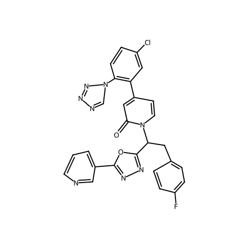 O=c1cc(-c2cc(Cl)ccc2-n2cnnn2)ccn1C(Cc1ccc(F)cc1)c1nnc(-c2cccnc2)o1